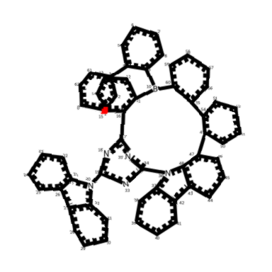 c1ccc(-c2ccccc2B2c3ccccc3-c3nc(-n4c5ccccc5c5ccccc54)nc(n3)-n3c4ccccc4c4cccc(c43)-c3ccccc3-c3ccccc32)cc1